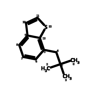 CC(C)(C)Cc1cccc2ccsc12